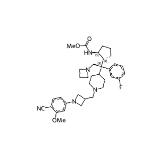 COC(=O)N[C@H]1CCC[C@@H]1[C@](CN1CCC1)(c1cccc(F)c1)C1CCN(CC2CN(c3ccc(C#N)c(OC)c3)C2)CC1